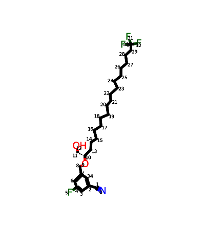 N#Cc1cc(F)cc(CO[C@H](CO)CCCCCCCCCCCCCCCCCC(F)(F)F)c1